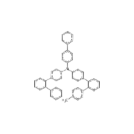 Cc1ccc(-c2ccccc2-c2ccc(N(c3ccc(-c4ccccc4)cc3)c3ccc(-c4ccccc4-c4ccccc4)cc3)cc2)cc1